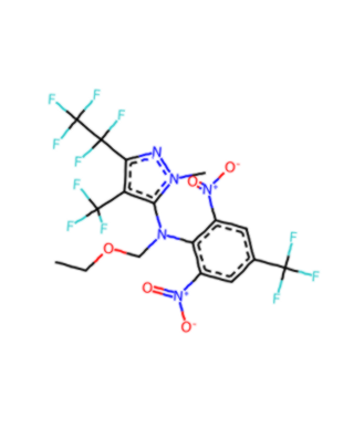 CCOCN(c1c([N+](=O)[O-])cc(C(F)(F)F)cc1[N+](=O)[O-])c1c(C(F)(F)F)c(C(F)(F)C(F)(F)F)nn1C